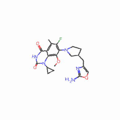 COc1c(N2CCC(Cc3coc(N)n3)C2)c(F)c(C)c2c(=O)[nH]c(=O)n(C3CC3)c12